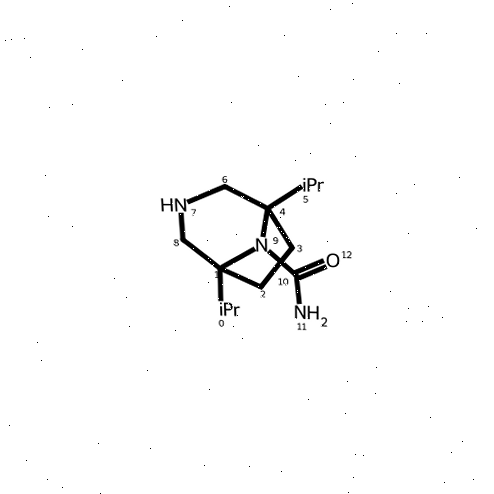 CC(C)C12CCC(C(C)C)(CNC1)N2C(N)=O